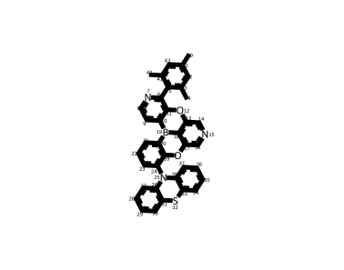 Cc1cc(C)c(-c2nccc3c2Oc2cncc4c2B3c2cccc(N3c5ccccc5Sc5ccccc53)c2O4)c(C)c1